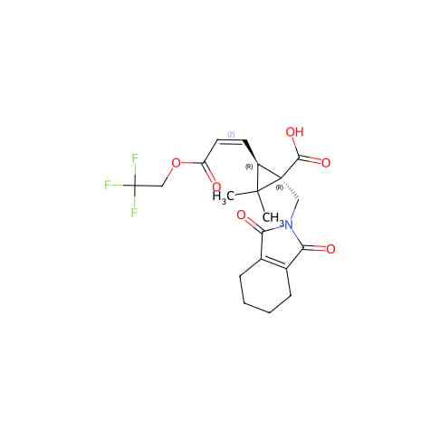 CC1(C)[C@@H](/C=C\C(=O)OCC(F)(F)F)[C@@]1(CN1C(=O)C2=C(CCCC2)C1=O)C(=O)O